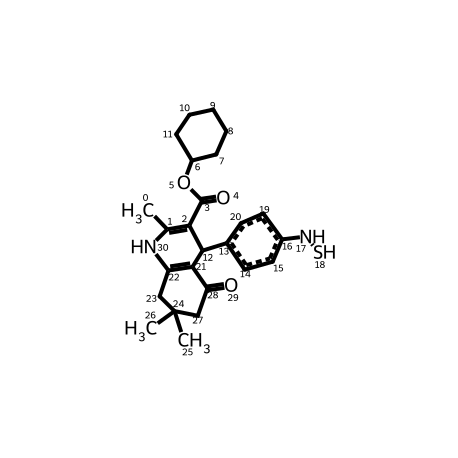 CC1=C(C(=O)OC2CCCCC2)C(c2ccc(NS)cc2)C2=C(CC(C)(C)CC2=O)N1